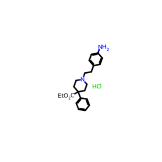 CCOC(=O)C1(c2ccccc2)CCN(CCc2ccc(N)cc2)CC1.Cl